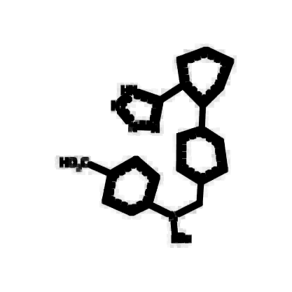 CCCCN(Cc1ccc(-c2ccccc2-c2nnn[nH]2)cc1)c1ccc(C(=O)O)cc1